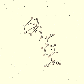 O=C(C=CC12CC3CC(CC(C3)C1)C2)c1ccc([N+](=O)[O-])cc1